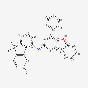 CC1C=CC2=C(C1)c1c(Nc3cc(-c4ccccc4)c4oc5ccccc5c4c3)cccc1C2(C)C